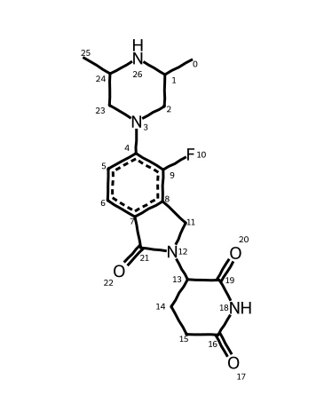 CC1CN(c2ccc3c(c2F)CN(C2CCC(=O)NC2=O)C3=O)CC(C)N1